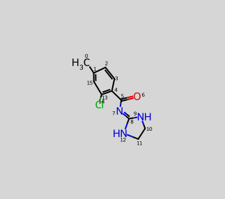 Cc1ccc(C(=O)N=C2NCCN2)c(Cl)c1